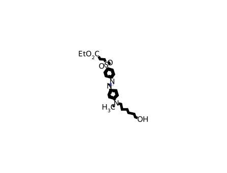 CCOC(=O)CCS(=O)(=O)c1ccc(/N=N/c2ccc(N(C)CCCCCCO)cc2)cc1